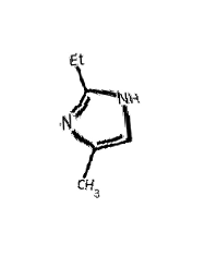 CCC1=[N+]C(C)=CN1